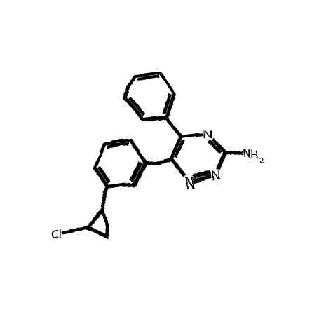 Nc1nnc(-c2cccc(C3CC3Cl)c2)c(-c2ccccc2)n1